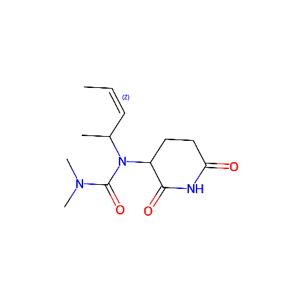 C/C=C\C(C)N(C(=O)N(C)C)C1CCC(=O)NC1=O